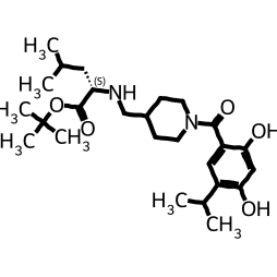 CC(C)C[C@H](NCC1CCN(C(=O)c2cc(C(C)C)c(O)cc2O)CC1)C(=O)OC(C)(C)C